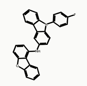 Fc1ccc(-n2c3ccccc3c3cc(Nc4cccc5oc6ccccc6c45)ccc32)cc1